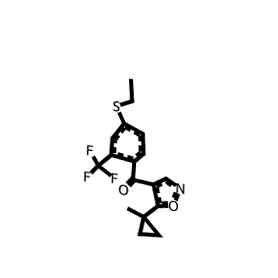 CCSc1ccc(C(=O)c2cnoc2C2(C)CC2)c(C(F)(F)F)c1